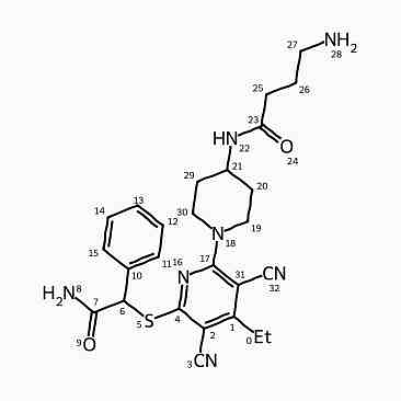 CCc1c(C#N)c(SC(C(N)=O)c2ccccc2)nc(N2CCC(NC(=O)CCCN)CC2)c1C#N